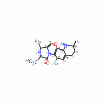 CCC1N=C(C(=O)O)C(=O)N2C1=COC1=C2C(F)C=C2CCC(C)NC21